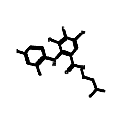 Cc1cc(I)ccc1Nc1c(C(=O)NOCC(C)C)cc(Br)c(F)c1F